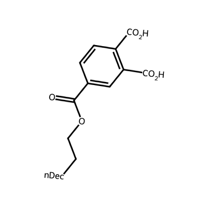 CCCCCCCCCCCCOC(=O)c1ccc(C(=O)O)c(C(=O)O)c1